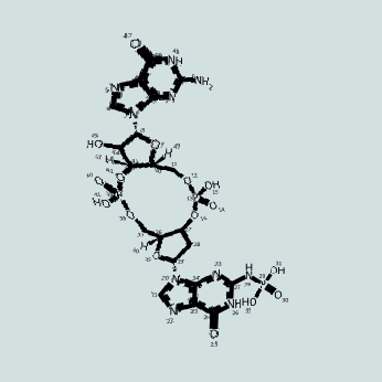 Nc1nc2c(ncn2[C@@H]2O[C@@H]3COP(=O)(O)OC4C[C@H](n5cnc6c(=O)[nH]c(NP(=O)(O)O)nc65)O[C@@H]4COP(=O)(O)O[C@@H]3C2O)c(=O)[nH]1